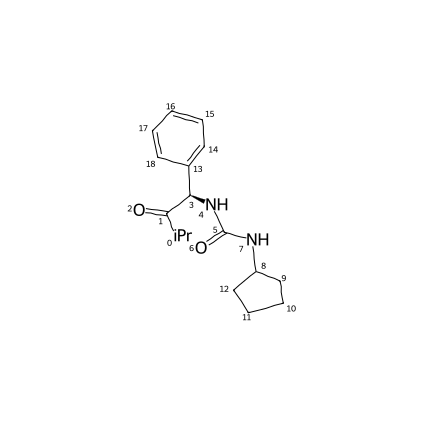 CC(C)C(=O)[C@H](NC(=O)NC1CCCC1)c1ccccc1